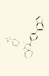 CS(=O)(=O)N1CC[C@@H](CN2C(c3ccc(-c4ccc5occc5c4)cc3)=NC3(CCOCC3)C2O)C1